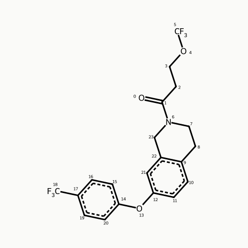 O=C(CCOC(F)(F)F)N1CCc2ccc(Oc3ccc(C(F)(F)F)cc3)cc2C1